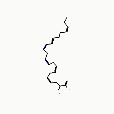 CC/C=C\CC/C=C/C=C\C/C=C\C/C=C\C/C=C\CC(OO)C(=O)O